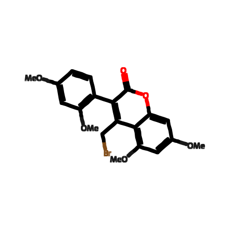 COc1ccc(-c2c(CBr)c3c(OC)cc(OC)cc3oc2=O)c(OC)c1